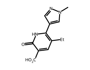 CCc1cc(C(=O)O)c(=O)[nH]c1-c1cnn(C)c1